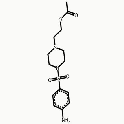 CC(=O)OCCN1CCN(S(=O)(=O)c2ccc(N)cc2)CC1